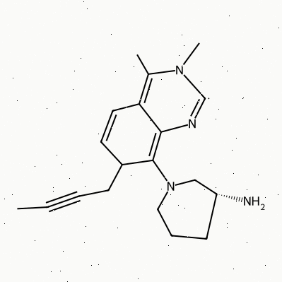 CC#CCC1C=CC2=C(C)N(C)[C]=NC2=C1N1CCC[C@@H](N)C1